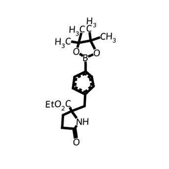 CCOC(=O)C1(Cc2ccc(B3OC(C)(C)C(C)(C)O3)cc2)CCC(=O)N1